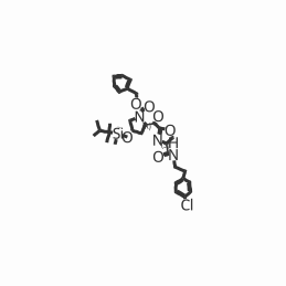 CC(C)C(C)(C)[Si](C)(C)OC1C[C@H](C(=O)C2=N[C@H](C(=O)NCCc3ccc(Cl)cc3)CO2)N(C(=O)OCc2ccccc2)C1